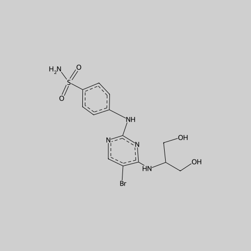 NS(=O)(=O)c1ccc(Nc2ncc(Br)c(NC(CO)CO)n2)cc1